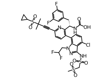 CC(C)(C#Cc1ccc(-c2ccc(Cl)c3c(NS(=O)(=O)CS(C)(=O)=O)nn(CC(F)F)c23)c([C@H](Cc2cc(F)cc(F)c2)NC(=O)O)n1)S(=O)(=O)C1CC1